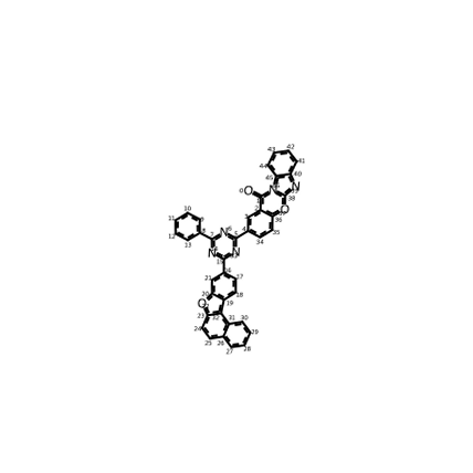 O=c1c2cc(-c3nc(-c4ccccc4)nc(-c4ccc5c(c4)oc4ccc6ccccc6c45)n3)ccc2oc2nc3ccccc3n12